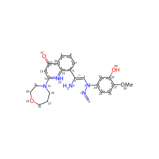 C=NN(/C=C(\N)c1cccc2c(=O)cc(N3CCCOCC3)[nH]c12)c1ccc(OC)c(O)c1